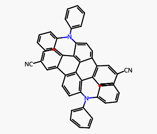 N#Cc1ccc2c(c1)c1ccc(N(c3ccccc3)c3ccccc3)c3c4ccc(C#N)cc4c4ccc(N(c5ccccc5)c5ccccc5)c2c4c13